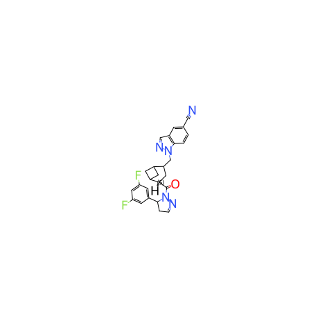 N#Cc1ccc2c(cnn2CC2C[C@H](C(=O)N3N=CCC3c3cc(F)cc(F)c3)C3CC2C3)c1